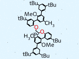 COc1c(C2=CC(C(C)(C)C)=CC(C(C)(C)C)C2)cc(C)cc1-c1cc(C(C)(C)C)ccc1OC[C@@H](Oc1ccc(C(C)(C)C)cc1-c1cc(C)cc(C2=CC(C(C)(C)C)=CC(C(C)(C)C)C2)c1OC)C(C)C